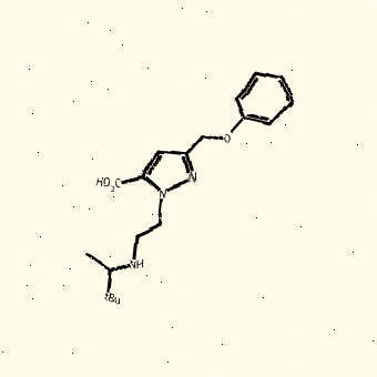 CC(NCCn1nc(COc2ccccc2)cc1C(=O)O)C(C)(C)C